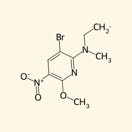 [CH2]CN(C)c1nc(OC)c([N+](=O)[O-])cc1Br